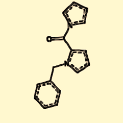 O=C(c1cccn1Cc1ccccc1)n1cccc1